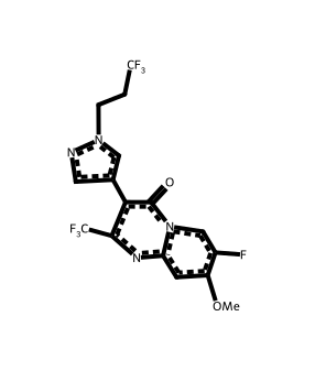 COc1cc2nc(C(F)(F)F)c(-c3cnn(CCC(F)(F)F)c3)c(=O)n2cc1F